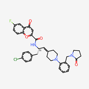 O=C(N[C@H](C=C1CCN(c2ccccc2CN2CCCC2=O)CC1)Cc1ccc(Cl)cc1)c1cc(=O)c2cc(F)ccc2o1